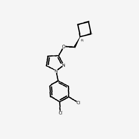 Clc1ccc(-n2ccc(OC[C@@H]3[CH]CC3)n2)cc1Cl